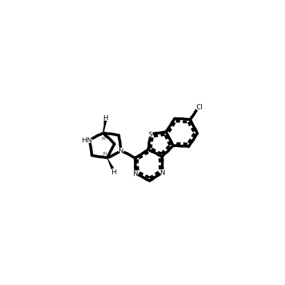 Clc1ccc2c(c1)sc1c(N3C[C@@H]4C[C@H]3CN4)ncnc12